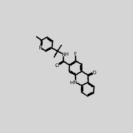 Cc1ccc(C(C)(C)NC(=O)c2cc3[nH]c4ccccc4c(=O)c3cc2F)cn1